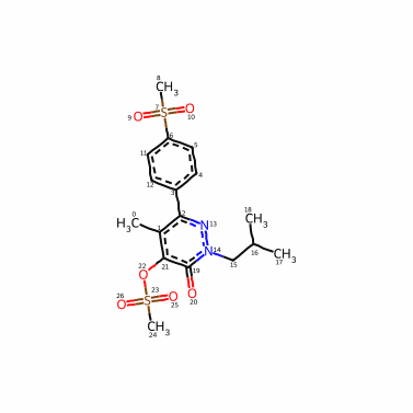 Cc1c(-c2ccc(S(C)(=O)=O)cc2)nn(CC(C)C)c(=O)c1OS(C)(=O)=O